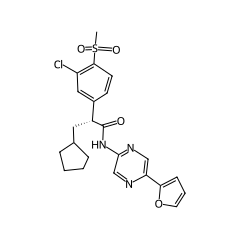 CS(=O)(=O)c1ccc([C@@H](CC2CCCC2)C(=O)Nc2cnc(-c3ccco3)cn2)cc1Cl